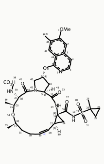 COc1cc2ccnc(O[C@@H]3C[C@H]4C(=O)N[C@]5(C(=O)NS(=O)(=O)C6(C)CC6)C[C@H]5/C=C\CC[C@@H](C)O[C@@H](C)[C@H](NC(=O)O)C(=O)N4C3)c2cc1F